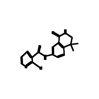 CC1(C)CNC(=O)c2cc(NC(=O)c3cccnc3Cl)ccc21